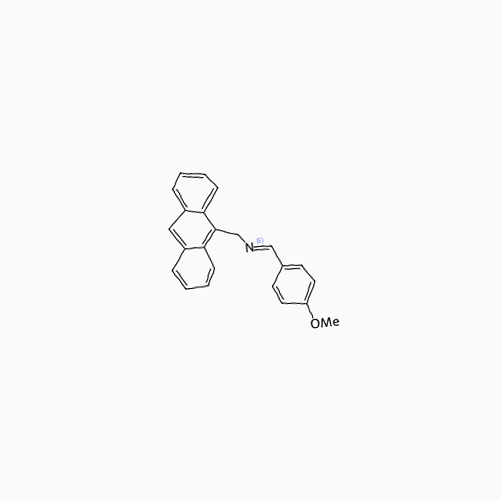 COc1ccc(/C=N/Cc2c3ccccc3cc3ccccc23)cc1